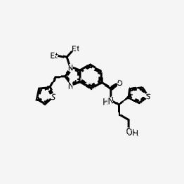 CCC(CC)n1c(Cc2cccs2)nc2cc(C(=O)NC(CCO)c3ccsc3)ccc21